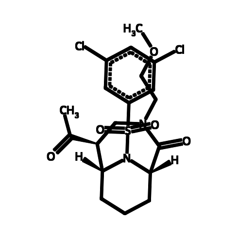 COCCN1C[C@H](C(C)=O)[C@H]2CCC[C@@H](C1=O)N2S(=O)(=O)c1cc(Cl)cc(Cl)c1